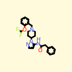 O=C(Cc1ccccc1)Nc1ccnn1C1CCN(Cc2ccccc2OC(F)F)CC1